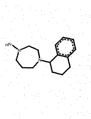 CCCN1CCCN(C2CCCc3ccccc32)CC1